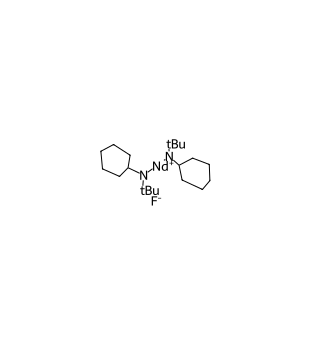 CC(C)(C)[N]([Nd+][N](C1CCCCC1)C(C)(C)C)C1CCCCC1.[F-]